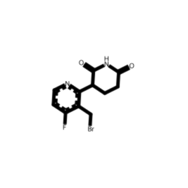 O=C1CCC(c2nccc(F)c2CBr)C(=O)N1